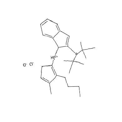 CCCCC1=[C]([Hf+2][CH]2C(P(C(C)(C)C)C(C)(C)C)=Cc3ccccc32)CC=C1C.[Cl-].[Cl-]